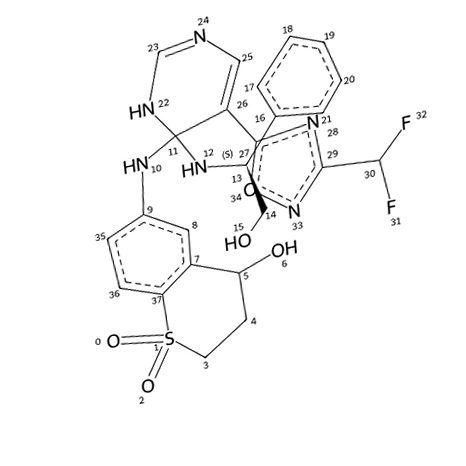 O=S1(=O)CCC(O)c2cc(NC3(N[C@H](CO)c4ccccc4)NC=NC=C3c3nc(C(F)F)no3)ccc21